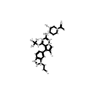 [2H]C([2H])([2H])Oc1nc(N[C@H]2CCN(C(C)=O)C[C@H]2F)nn2cc(F)c(-c3ccc4nnn(CCF)c4c3)c12